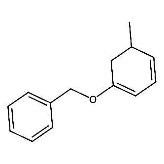 CC1C=CC=C(OCc2ccccc2)C1